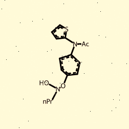 CCCN(O)Oc1ccc(N(C(C)=O)c2cccs2)cc1